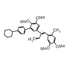 C=C/C(=C\c1cc(OC)c(OC)cc1C)c1cc(OC)c(OC)c(-c2ccc(C3CCCCC3)cc2)c1